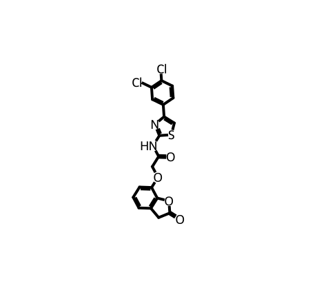 O=C(COc1cccc2c1OC(=O)C2)Nc1nc(-c2ccc(Cl)c(Cl)c2)cs1